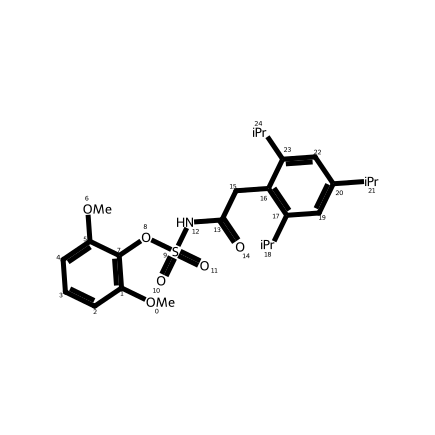 COc1cccc(OC)c1OS(=O)(=O)NC(=O)Cc1c(C(C)C)cc(C(C)C)cc1C(C)C